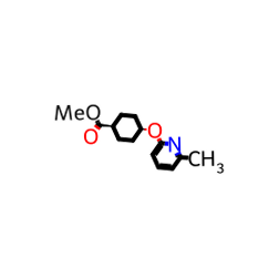 COC(=O)[C@H]1CC[C@H](Oc2cccc(C)n2)CC1